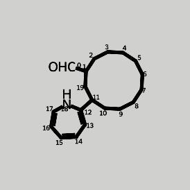 O=CC1CCCCCCCCCC(C2=CC=CC=CN2)C1